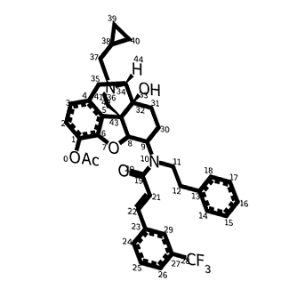 CC(=O)Oc1ccc2c3c1OC1C(N(CCc4ccccc4)C(=O)/C=C/c4cccc(C(F)(F)F)c4)CC[C@@]4(O)[C@@H](C2)N(CC2CC2)CC[C@]314